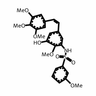 COc1cccc(S(=O)(=O)Nc2cc(/C=C\c3cc(OC)c(OC)c(OC)c3)cc(O)c2OC)c1